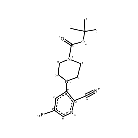 CC(C)(C)OC(=O)N1CCN(c2cc(F)cnc2C#N)CC1